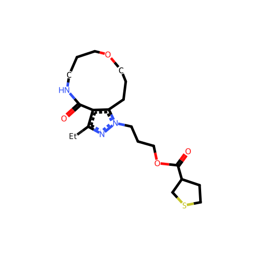 CCc1nn(CCCOC(=O)C2CCSC2)c2c1C(=O)NCCCOCCC2